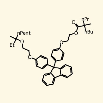 CCCCCC(C)(CC)OCCOc1ccc(C2(c3ccc(OCCOC(=O)C(C)(CCC)CCCC)cc3)c3ccccc3-c3ccccc32)cc1